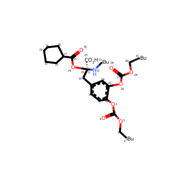 CCC(C)COC(=O)Oc1ccc(C[C@](NC(C)CC)(OC(=O)C2CCCCC2)C(=O)O)cc1OC(=O)OCC(C)CC